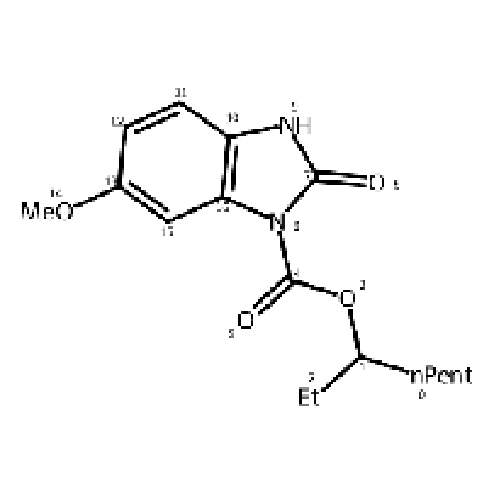 CCCCCC(CC)OC(=O)n1c(=O)[nH]c2ccc(OC)cc21